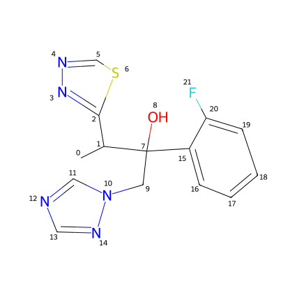 CC(c1nncs1)C(O)(Cn1cncn1)c1ccccc1F